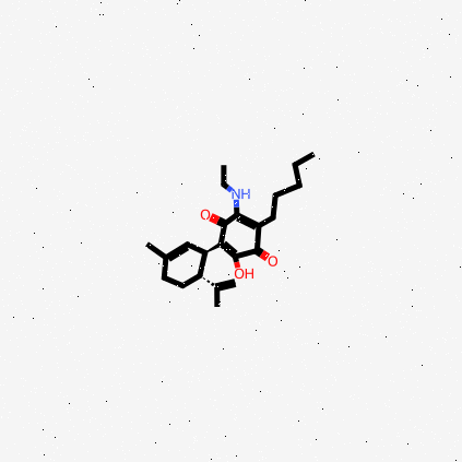 C=C(C)[C@@H]1CCC(C)=C[C@H]1C1=C(O)C(=O)C(CCCCC)=C(NCC)C1=O